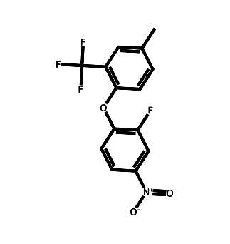 Cc1ccc(Oc2ccc([N+](=O)[O-])cc2F)c(C(F)(F)F)c1